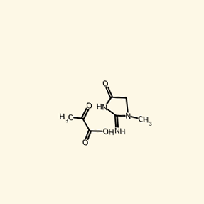 CC(=O)C(=O)O.CN1CC(=O)NC1=N